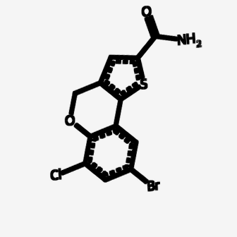 NC(=O)c1cc2c(s1)-c1cc(Br)cc(Cl)c1OC2